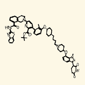 Cc1c(O[C@H]2CC[C@H](CCCCN3CCC(Oc4cccc5c(C6CCC(=O)NC6=O)nn(C)c45)CC3)CC2)cccc1-c1ccc(N2CCc3cccc(C(=O)Nc4nc5ccccc5s4)c3C2)nc1C(=O)OC(C)(C)C